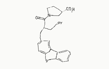 O=C(O)[C@H]1CCN(C(=O)C(CS)Cc2ccc3sc4ccccc4c3c2)C1